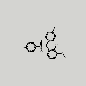 COc1cccc(C(c2ccc(C)cc2)S(=O)(=O)c2ccc(C)cc2)c1O